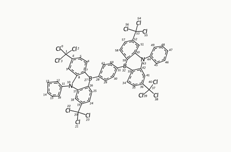 ClC(Cl)(Cl)c1ccc2c(c1)N(c1ccccc1)c1cc(C(Cl)(Cl)Cl)ccc1B2c1ccc(B2c3ccc(C(Cl)(Cl)Cl)cc3N(c3ccccc3)c3cc(C(Cl)(Cl)Cl)ccc32)cc1